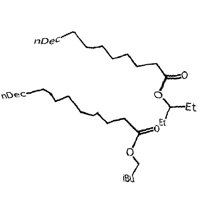 CCCCCCCCCCCCCCCCCC(=O)OC(CC)CC.CCCCCCCCCCCCCCCCCC(=O)OCC(C)CC